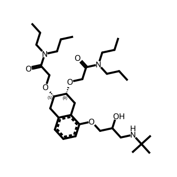 CCCN(CCC)C(=O)CO[C@H]1Cc2cccc(OCC(O)CNC(C)(C)C)c2C[C@H]1OCC(=O)N(CCC)CCC